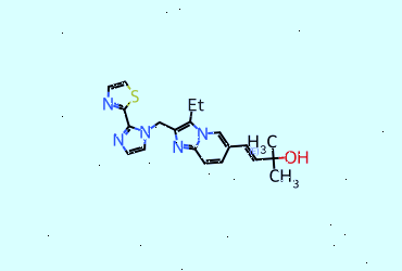 CCc1c(Cn2ccnc2-c2nccs2)nc2ccc(/C=C/C(C)(C)O)cn12